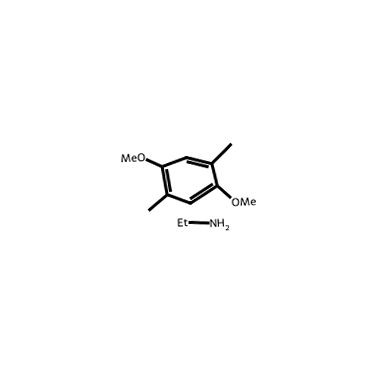 CCN.COc1cc(C)c(OC)cc1C